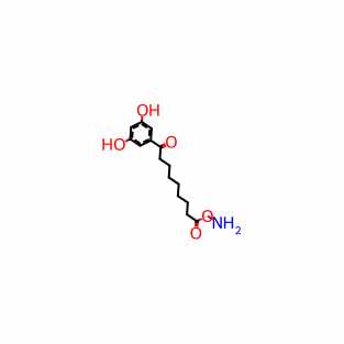 NOC(=O)CCCCCCCC(=O)c1cc(O)cc(O)c1